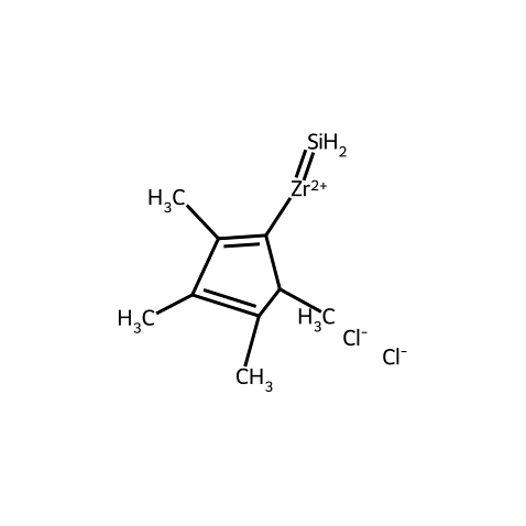 CC1=C(C)C(C)[C]([Zr+2]=[SiH2])=C1C.[Cl-].[Cl-]